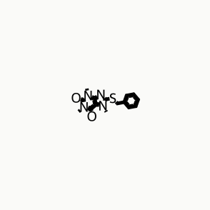 Cn1c(=O)c2c(nc(SCc3ccccc3)n2C)n(C)c1=O